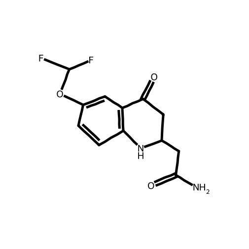 NC(=O)CC1CC(=O)c2cc(OC(F)F)ccc2N1